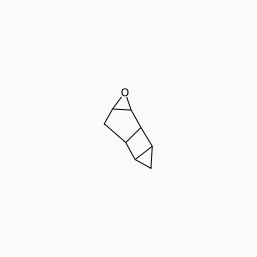 C1C2OC2C2C1C1CC12